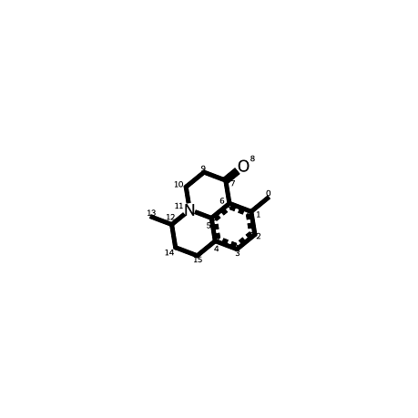 Cc1ccc2c3c1C(=O)CCN3C(C)CC2